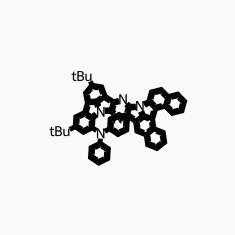 CC(C)(C)c1cc(N(c2ccccc2)c2ccccc2)c2c(c1)c1cc(C(C)(C)C)cc3c4nc5c(nc4n2c13)c1cc2ccccc2c2c3c4ccccc4ccc3n5c12